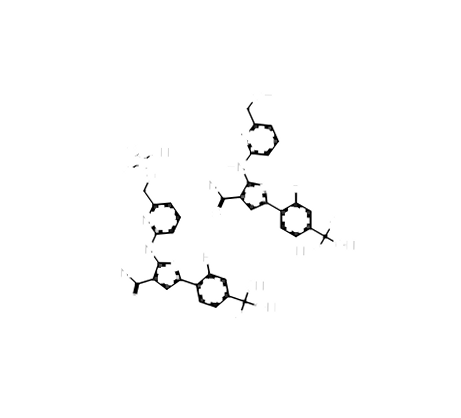 CC(C)(O)c1ccc(-c2cc(C(N)=O)c(Nc3cccc(CO)n3)s2)c(F)c1.CC(C)(O)c1ccc(-c2cc(C(N)=O)c(Nc3cccc(COP(C)(C)=O)n3)s2)c(F)c1